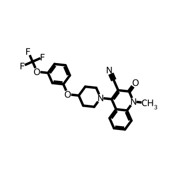 Cn1c(=O)c(C#N)c(N2CCC(Oc3cccc(OC(F)(F)F)c3)CC2)c2ccccc21